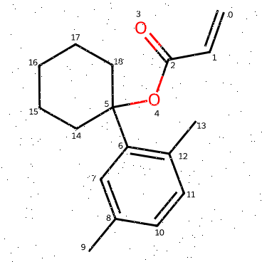 C=CC(=O)OC1(c2cc(C)ccc2C)CCCCC1